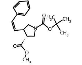 COC(=O)[C@H]1CN(C(=O)OC(C)(C)C)C[C@@H]1/C=C\c1ccccc1